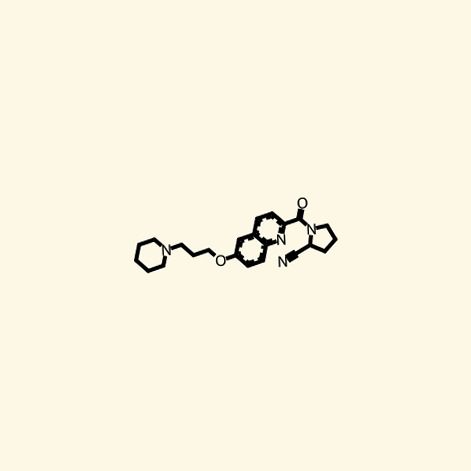 N#CC1CCCN1C(=O)c1ccc2cc(OCCCN3CCCCC3)ccc2n1